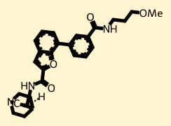 COCCCNC(=O)c1cccc(-c2cccc3cc(C(=O)N[C@@H]4CN5CCC4CC5)oc23)c1